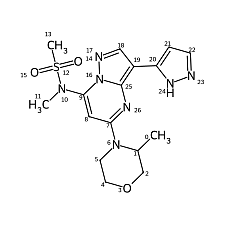 CC1COCCN1c1cc(N(C)S(C)(=O)=O)n2ncc(-c3ccn[nH]3)c2n1